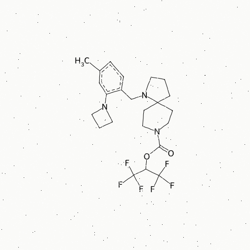 Cc1ccc(CN2CCCC23CCN(C(=O)OC(C(F)(F)F)C(F)(F)F)CC3)c(N2CCC2)c1